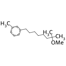 COC(C)(C)CCCCCCc1cccc(C)c1